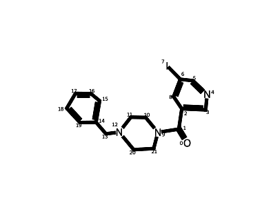 O=C(c1cncc(I)c1)N1CCN(Cc2ccccc2)CC1